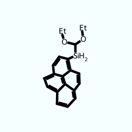 CCOC(OCC)[SiH2]c1ccc2ccc3cccc4ccc1c2c34